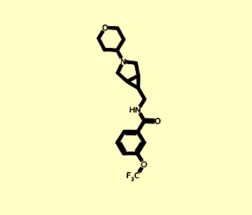 O=C(NCC1C2CN(C3CCOCC3)CC12)c1cccc(OC(F)(F)F)c1